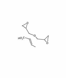 C(OCC1CO1)C1CO1.C/C=C/C(=O)O